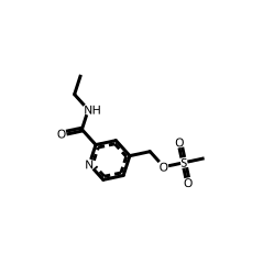 CCNC(=O)c1cc(COS(C)(=O)=O)ccn1